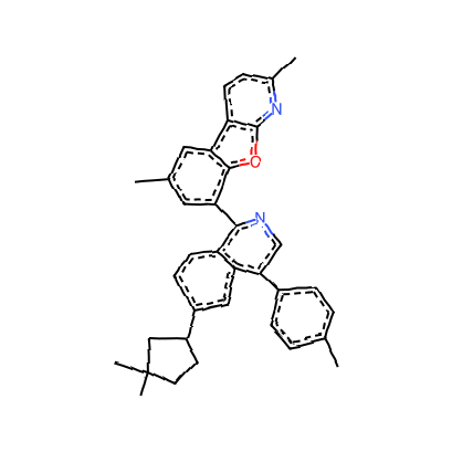 Cc1ccc(-c2cnc(-c3cc(C)cc4c3oc3nc(C)ccc34)c3ccc(C4CCC(C)(C)C4)cc23)cc1